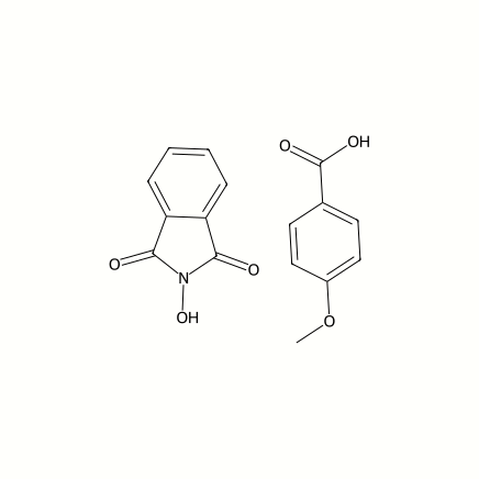 COc1ccc(C(=O)O)cc1.O=C1c2ccccc2C(=O)N1O